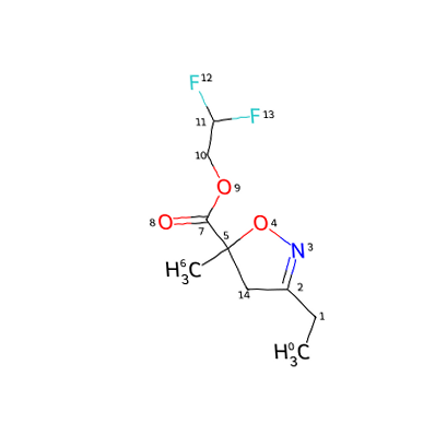 CCC1=NOC(C)(C(=O)OCC(F)F)C1